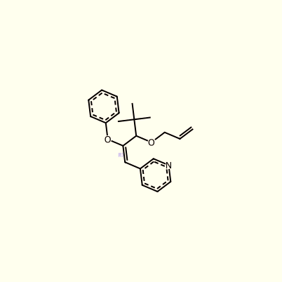 C=CCOC(/C(=C\c1cccnc1)Oc1ccccc1)C(C)(C)C